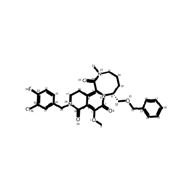 COc1c2c(c3n(c1=O)[C@@H](COCc1ccccc1)CCCN(C)C3=O)CCN(Cc1ccc(F)c(Cl)c1)C2=O